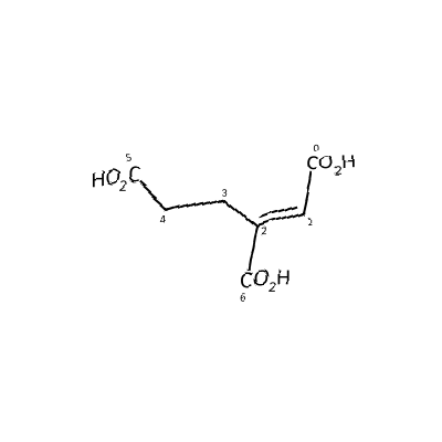 O=C(O)C=C(CCC(=O)O)C(=O)O